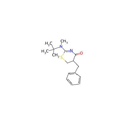 CN(C1=NC(=O)C(Cc2ccccc2)CS1)C(C)(C)C